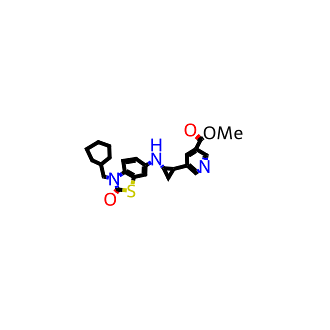 COC(=O)c1cncc(C2CC2Nc2ccc3c(c2)sc(=O)n3CC2CCCCC2)c1